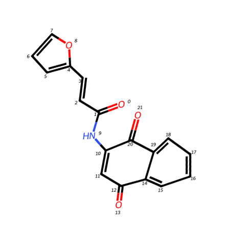 O=C(C=Cc1ccco1)NC1=CC(=O)c2ccccc2C1=O